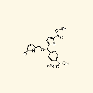 CCCCCC(O)c1ccc(C(OCC2=NC(=O)C=C2)c2ccc(C(=O)OC(C)C)s2)cc1